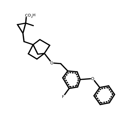 CC1(C(=O)O)CC1CC12CCC(OCc3cc(F)cc(Oc4ccccc4)c3)(CC1)C2